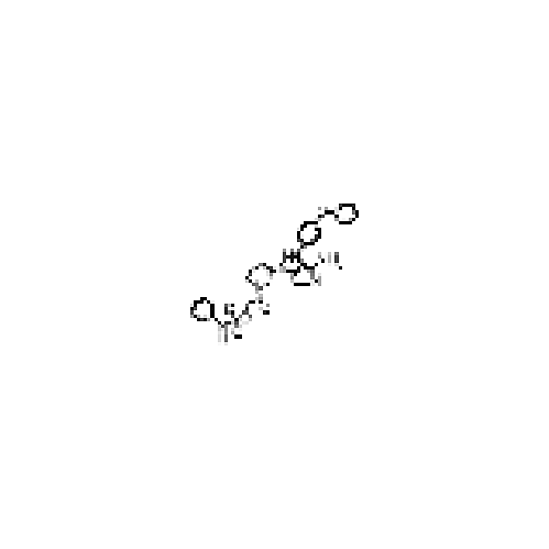 Nc1ncnc2c1c(-c1ccc(Oc3ccccc3)cc1)nn2[C@@H]1CCCN(C(=O)COS(=O)(=O)Nc2ccccc2)C1